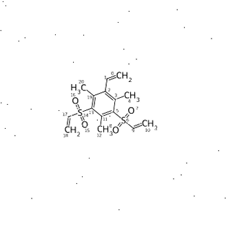 C=Cc1c(C)c(S(=O)(=O)C=C)c(C)c(S(=O)(=O)C=C)c1C